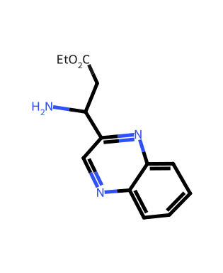 CCOC(=O)CC(N)c1cnc2ccccc2n1